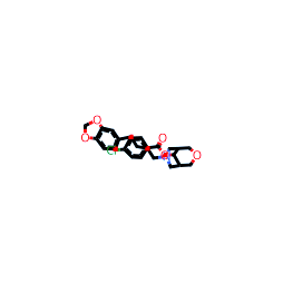 O=C(OC1C2COCC1CN(CCCCc1ccc3c(c1)OCO3)C2)c1ccc(Cl)cc1